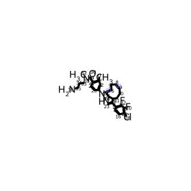 Cc1cc(N/C2=C\C/C=C\CCC3C(c4ccc(Cl)c(F)c4F)=CN=C23)ccc1C(=O)N(C)CCCN